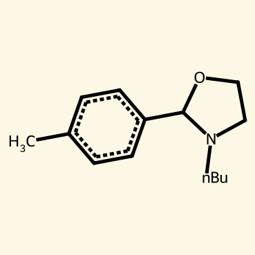 CCCCN1CCOC1c1ccc(C)cc1